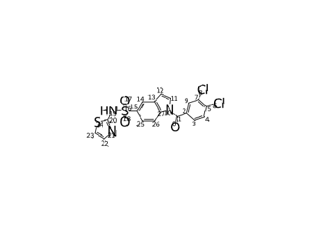 O=C(c1ccc(Cl)c(Cl)c1)n1ccc2cc(S(=O)(=O)Nc3nccs3)ccc21